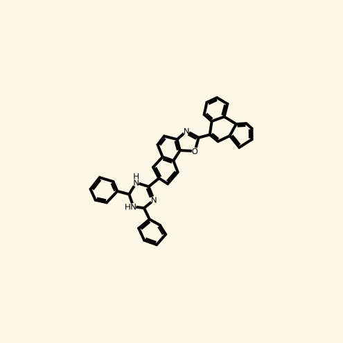 c1ccc(C2N=C(c3ccc4c(ccc5nc(-c6cc7ccccc7c7ccccc67)oc54)c3)NC(c3ccccc3)N2)cc1